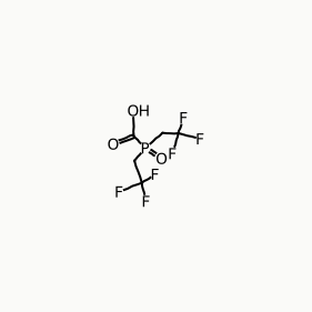 O=C(O)P(=O)(CC(F)(F)F)CC(F)(F)F